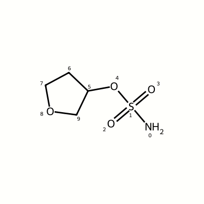 NS(=O)(=O)OC1CCOC1